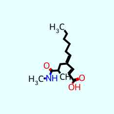 CCCCC/C=C(/C=C/C(=O)O)CC(C)C(=O)NC